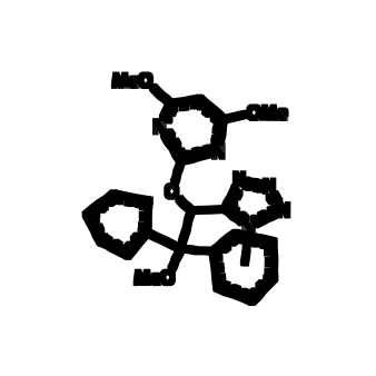 COc1cc(OC)nc(OC(c2nnnn2C)C(OC)(c2ccccc2)c2ccccc2)n1